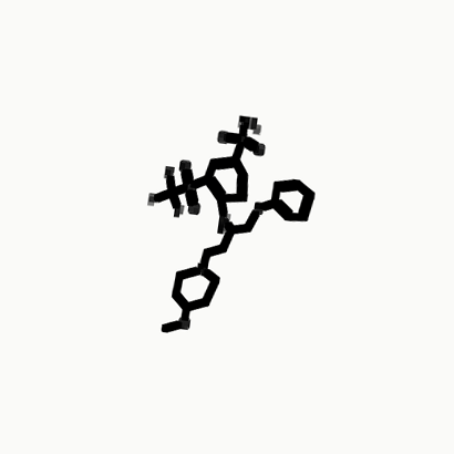 COC1CCN(CCC(CSc2ccccc2)Nc2ccc(S(N)(=O)=O)cc2S(=O)(=O)C(F)(F)F)CC1